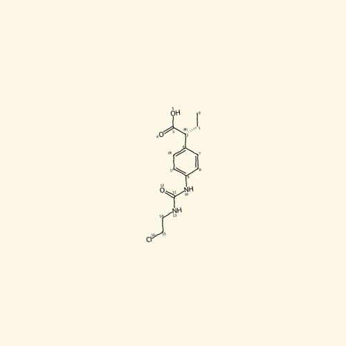 CC[C@@H](C(=O)O)c1ccc(NC(=O)NCCCl)cc1